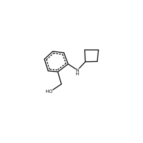 OCc1ccccc1NC1CCC1